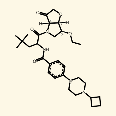 CCO[C@H]1CN(C(=O)C(CC(C)(C)C)NC(=O)c2ccc(N3CCN(C4CCC4)CC3)cc2)[C@@H]2C(=O)CO[C@H]12